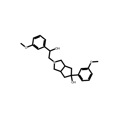 COc1cccc(C(O)CN2CC3CC(O)(c4cccc(OC)c4)CC3C2)c1